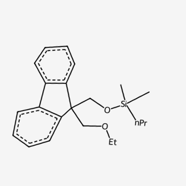 CCC[Si](C)(C)OCC1(COCC)c2ccccc2-c2ccccc21